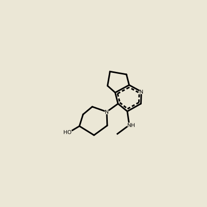 CNc1cnc2c(c1N1CCC(O)CC1)CCC2